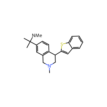 CNC(C)(C)c1ccc2c(c1)CN(C)CC2c1cc2ccccc2s1